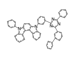 c1ccc(-c2cccc(-c3nc(-c4ccccc4)nc(-c4cccc(-n5c6ccccc6c6c7c8ccccc8n(-c8ccccc8)c7ccc65)c4)n3)c2)cc1